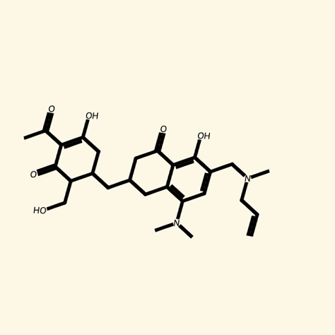 C=CCN(C)Cc1cc(N(C)C)c2c(c1O)C(=O)CC(CC1CC(O)=C(C(C)=O)C(=O)C1CO)C2